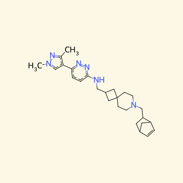 Cc1nn(C)cc1-c1ccc(NCC2CC3(CCN(CC4CC5C=CC4C5)CC3)C2)nn1